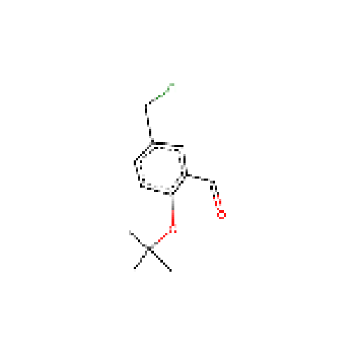 CC(C)(C)Oc1ccc(CCl)cc1C=O